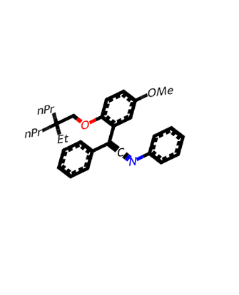 CCCC(CC)(CCC)COc1ccc(OC)cc1C(=C=Nc1ccccc1)c1ccccc1